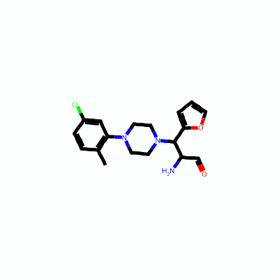 Cc1ccc(Cl)cc1N1CCN(C(c2ccco2)C(N)C=O)CC1